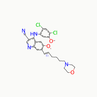 COc1cc(Nc2c(C#N)cnc3cc(/C=C/CCCCN4CCOCC4)c(OC)cc23)c(Cl)cc1Cl